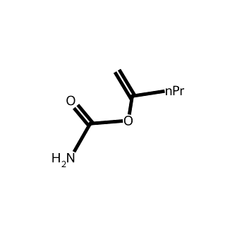 C=C(CCC)OC(N)=O